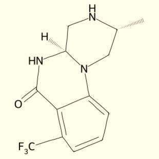 C[C@@H]1CN2c3cccc(C(F)(F)F)c3C(=O)N[C@H]2CN1